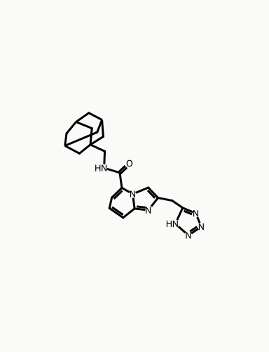 O=C(NCC12CC3CC(CC(C3)C1)C2)c1cccc2nc(Cc3nnn[nH]3)cn12